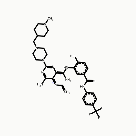 C=C/N=C1/C(N)=NC(N2CCN(CC3CCN(C)CC3)CC2)=N/C1=C(/N)Nc1cc(C(=O)Nc2ccc(C(F)(F)F)cc2)ccc1C